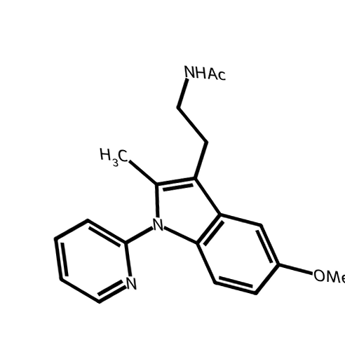 COc1ccc2c(c1)c(CCNC(C)=O)c(C)n2-c1ccccn1